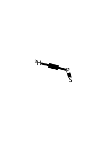 [3H]C#CP=S